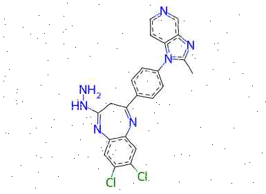 Cc1nc2cnccc2n1-c1ccc(C2=Nc3cc(Cl)c(Cl)cc3N=C(NN)C2)cc1